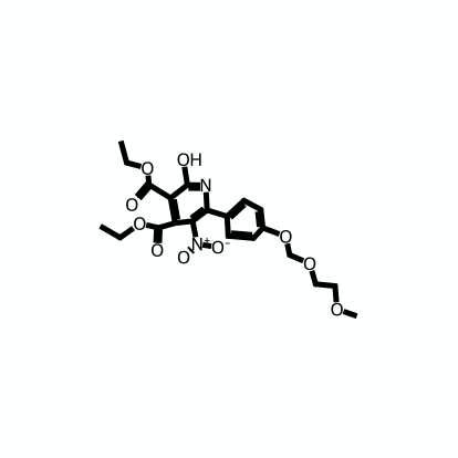 CCOC(=O)c1c(O)nc(-c2ccc(OCOCCOC)cc2)c([N+](=O)[O-])c1C(=O)OCC